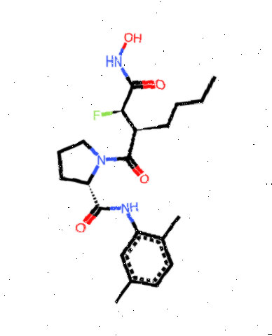 CCCC[C@@H](C(=O)N1CCC[C@H]1C(=O)Nc1cc(C)ccc1C)[C@@H](F)C(=O)NO